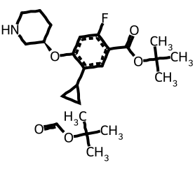 CC(C)(C)OC(=O)c1cc(C2CC2)c(O[C@@H]2CCCNC2)cc1F.CC(C)(C)OC=O